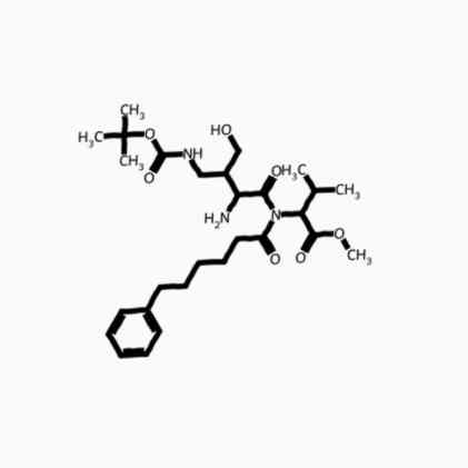 COC(=O)C(C(C)C)N(C(=O)CCCCCc1ccccc1)C(=O)C(N)C(CO)CNC(=O)OC(C)(C)C